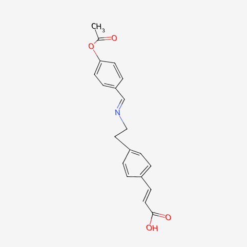 CC(=O)Oc1ccc(C=NCCc2ccc(C=CC(=O)O)cc2)cc1